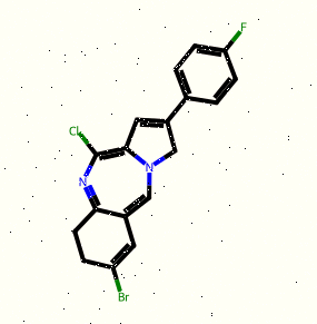 Fc1ccc(C2=CC3=C(Cl)N=C4CCC(Br)=CC4=CN3C2)cc1